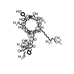 CC[C@H](C)C[C@H](C)CCCCCCCCC(=O)N[C@H]1C[C@@H](O)[C@@H](OCCNC(=O)[C@@H](N)CNC(=O)[C@H](Cc2ccccc2)NC(=O)[C@H](CC(C)C)NC(=O)[C@H](CCSC)NC=O)NC(=O)[C@@H]2[C@@H](O)CCN2C(=O)[C@H]([C@H](O)CCN)NC(=O)[C@H]([C@H](O)[C@@H](O)c2ccc(O)cc2)NC(=O)[C@@H]2C[C@@H](O)CN2C(=O)[C@H]([C@@H](C)O)NC1=O